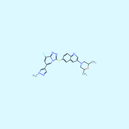 CC1CN(c2cnc3ccc(Sc4nnc5c(F)cc(-c6cnn(C)c6)cn45)cc3c2)CC(C)O1